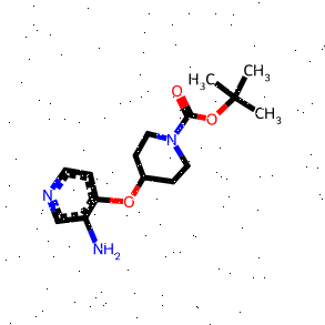 CC(C)(C)OC(=O)N1CCC(Oc2ccncc2N)CC1